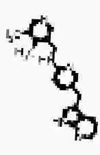 Cc1cn[c]c(CNc2ccc(Cc3c[nH]c4ncccc34)cn2)c1C